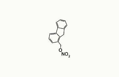 O=[N+]([O-])OCc1cccc2c1Cc1ccccc1-2